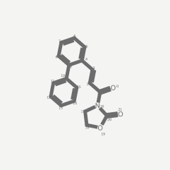 O=C(/C=C/c1ccccc1-c1ccccc1)N1CCOC1=O